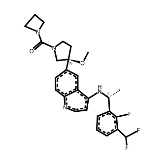 CO[C@]1(c2ccc3nccc(N[C@H](C)c4cccc(C(F)F)c4F)c3c2)CCN(C(=O)N2CCC2)C1